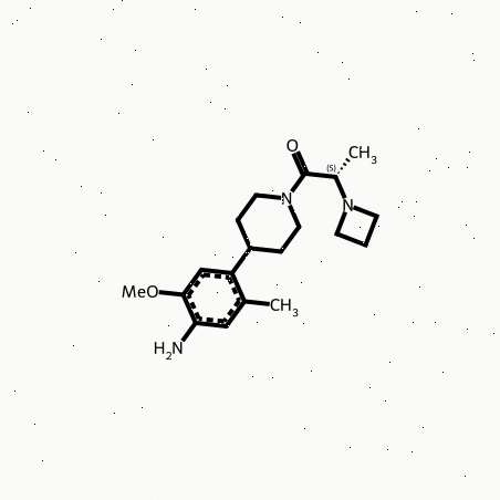 COc1cc(C2CCN(C(=O)[C@H](C)N3CCC3)CC2)c(C)cc1N